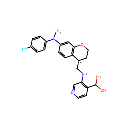 CN(c1ccc(F)cc1)c1ccc2c(c1)OCC[C@H]2CNc1cnccc1C(O)O